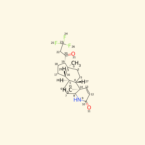 C[C@]12CC[C@H]3[C@@H](CCC4NC(=O)C=C[C@@]43C)[C@@H]1CC[C@@H]2C(=O)CC(F)(F)F